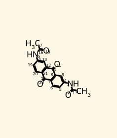 CC(=O)Nc1ccc2c(c1)C(=O)c1cc(NC(C)=O)ccc1C2=O